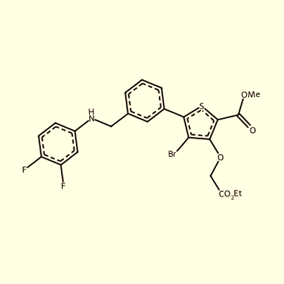 CCOC(=O)COc1c(C(=O)OC)sc(-c2cccc(CNc3ccc(F)c(F)c3)c2)c1Br